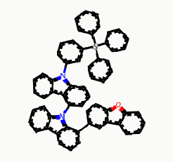 c1ccc([Si](c2ccccc2)(c2ccccc2)c2cccc(-n3c4ccccc4c4c(-n5c6ccccc6c6cccc(-c7ccc8oc9ccccc9c8c7)c65)cccc43)c2)cc1